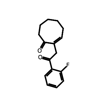 O=C1CCCCCC=C1CC(=O)c1ccccc1F